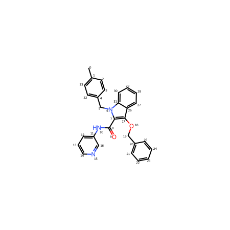 Cc1ccc(Cn2c(C(=O)Nc3cccnc3)c(OCc3ccccc3)c3ccccc32)cc1